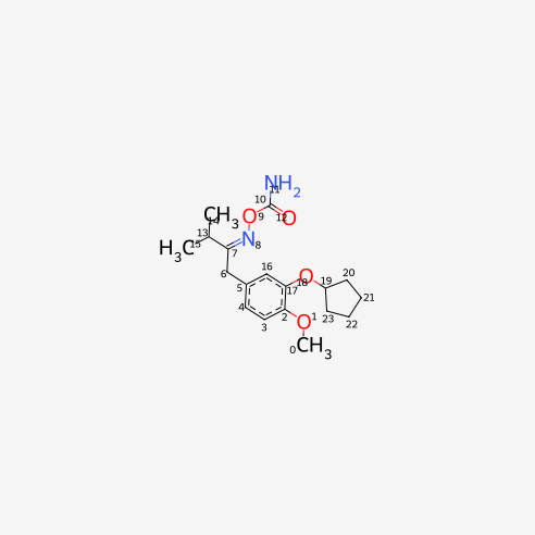 COc1ccc(CC(=NOC(N)=O)C(C)C)cc1OC1CCCC1